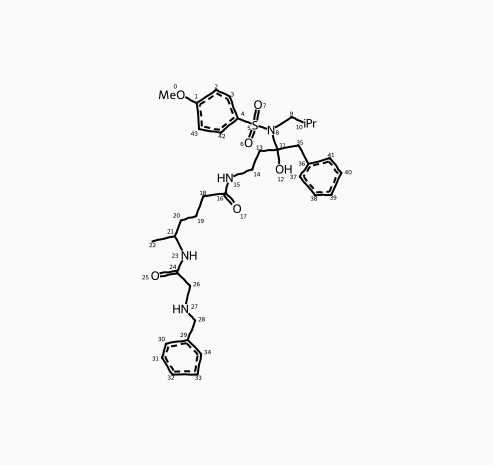 COc1ccc(S(=O)(=O)N(CC(C)C)C(O)(CCNC(=O)CCCC(C)NC(=O)CNCc2ccccc2)Cc2ccccc2)cc1